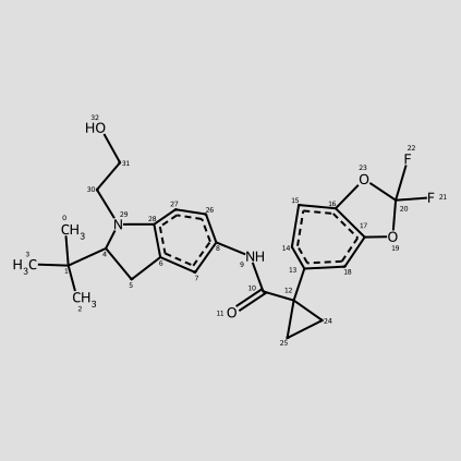 CC(C)(C)C1Cc2cc(NC(=O)C3(c4ccc5c(c4)OC(F)(F)O5)CC3)ccc2N1CCO